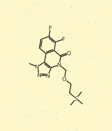 Cn1nnc2c1c1ccc(F)c(F)c1c(=O)n2COCCS(C)(C)C